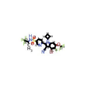 CC(NS(=O)(=O)c1ccc(-c2c(C#N)c3c(Br)c(F)c(OC(F)F)cc3n2C2CCC2)nc1)C(F)(F)F